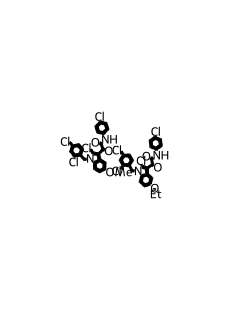 CCOc1ccc2c(c1)c(C(=O)C(=O)Nc1ccc(Cl)cc1)c(Cl)n2Cc1ccc(Cl)cc1Cl.COc1ccc2c(c1)c(C(=O)C(=O)Nc1ccc(Cl)cc1)c(Cl)n2Cc1ccc(Cl)cc1Cl